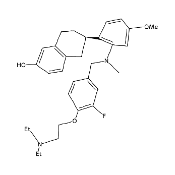 CCN(CC)CCOc1ccc(CN(C)c2cc(OC)ccc2[C@@H]2CCc3cc(O)ccc3C2)cc1F